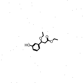 CCOC(=O)CC(OCC)c1cccc(O)c1